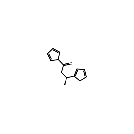 C[C@@H](CC(=O)C1C=CC=C1)C1=CC=CC1